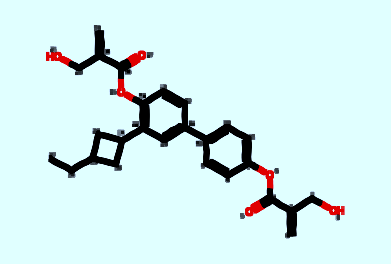 C=C(CO)C(=O)Oc1ccc(-c2ccc(OC(=O)C(=C)CO)c(C3CC(CC)C3)c2)cc1